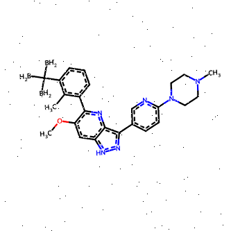 BC(B)(B)c1cccc(-c2nc3c(-c4ccc(N5CCN(C)CC5)nc4)n[nH]c3cc2OC)c1C